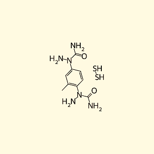 Cc1cc(N(N)C(N)=O)ccc1N(N)C(N)=O.SS